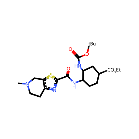 CCOC(=O)C1CCC(NC(=O)c2nc3c(s2)CN(C)CC3)C(NC(=O)OC(C)(C)C)C1